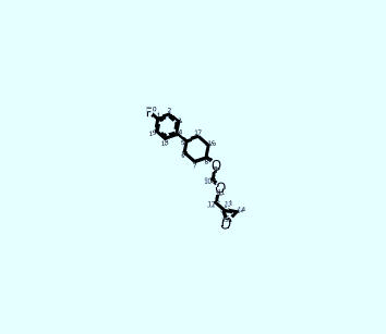 Fc1ccc(C2CCC(OCOCC3CO3)CC2)cc1